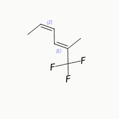 C/C=C\C=C(/C)C(F)(F)F